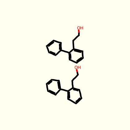 OCCc1ccccc1-c1ccccc1.OCCc1ccccc1-c1ccccc1